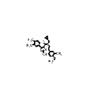 COc1ccc(CCN(CC2CC2)C(=O)c2nc(C)sc2-c2ccc(C)c(C)c2)cc1C